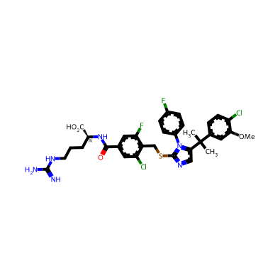 COc1cc(C(C)(C)c2cnc(SCc3c(F)cc(C(=O)N[C@@H](CCCNC(=N)N)C(=O)O)cc3Cl)n2-c2ccc(F)cc2)ccc1Cl